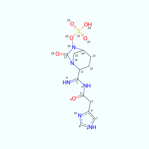 N=C(NC(=O)Cc1c[nH]cn1)C1CCC2CN1C(=O)N2OS(=O)(=O)O